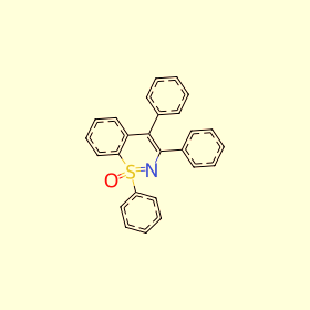 O=S1(c2ccccc2)=NC(c2ccccc2)=C(c2ccccc2)c2ccccc21